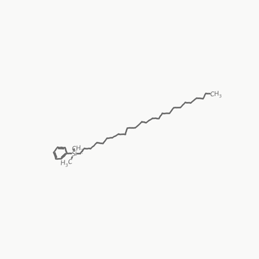 CCCCCCCCCCCCCCCCCCCCCCCC[CH][Si](C)(C)c1ccccc1